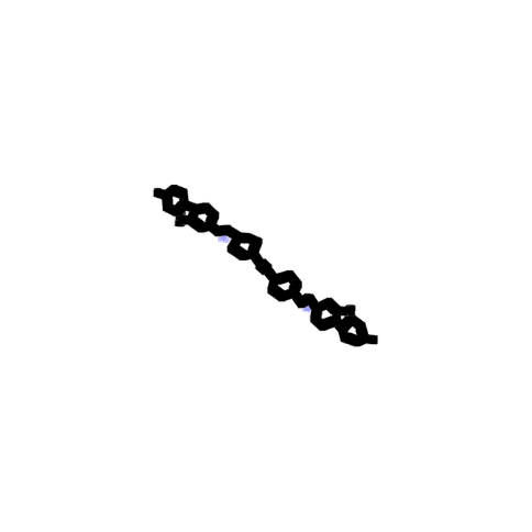 Cc1ccc2c(c1)sc1cc(/C=C/c3ccc(C#Cc4ccc(/C=C/c5ccc6c(c5)sc5cc(C)ccc56)cc4)cc3)ccc12